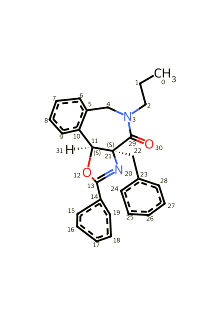 CCCN1Cc2ccccc2[C@@H]2OC(c3ccccc3)=N[C@]2(Cc2ccccc2)C1=O